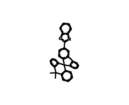 CC1(C)c2ccccc2C2(c3ccccc3-c3cc(-c4nc5ccccc5o4)ccc32)c2ccccc21